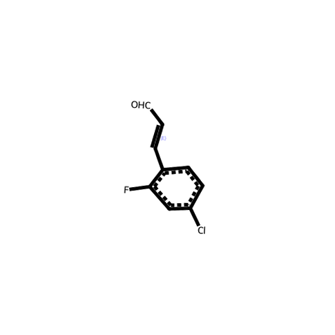 O=C/C=C/c1ccc(Cl)cc1F